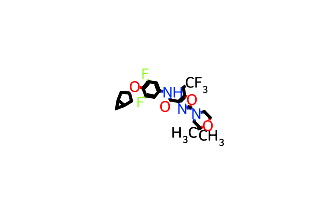 CC1(C)CN(c2nc(C(=O)Nc3cc(F)c(OC4CC5CC5C4)c(F)c3)c(CC(F)(F)F)o2)CCO1